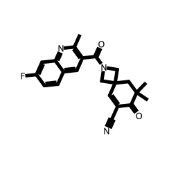 Cc1nc2cc(F)ccc2cc1C(=O)N1CC2(C=C(C#N)C(=O)C(C)(C)C2)C1